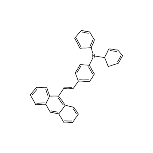 C1=CCC(N(c2ccccc2)c2ccc(/C=C/c3c4ccccc4cc4ccccc34)cc2)C=C1